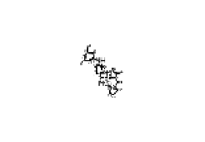 Cc1cc(C)cc(Nc2ncc(C(F)(F)F)c(-n3cc(C)c(CN4CCC[C@H]4O)c3)n2)c1